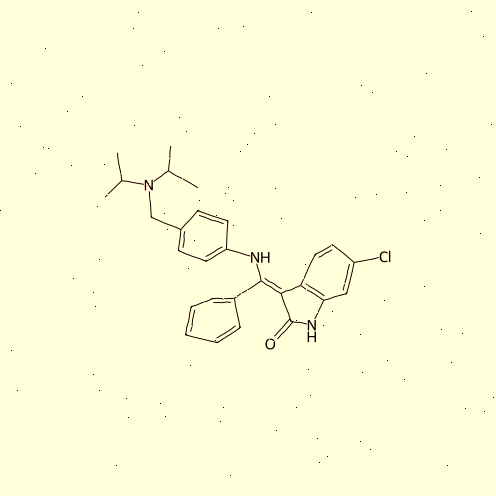 CC(C)N(Cc1ccc(NC(=C2C(=O)Nc3cc(Cl)ccc32)c2ccccc2)cc1)C(C)C